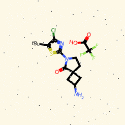 CC(C)(C)c1sc(N2CCC3(CC(N)C3)C2=O)nc1Cl.O=C(O)C(F)(F)F